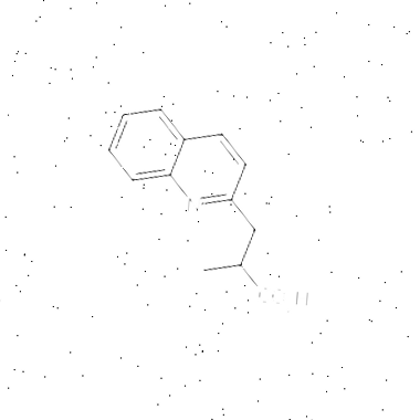 CC(Cc1ccc2ccccc2n1)C(=O)O